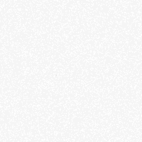 c1cc2c3c(cccc3c1)OCO2